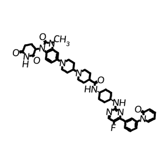 Cn1c(=O)n(C2CCC(=O)NC2=O)c2ccc(N3CCC(N4CCC(C(=O)N[C@H]5CC[C@H](Nc6ncc(F)c(-c7cccc(-n8ccccc8=O)c7)n6)CC5)CC4)CC3)cc21